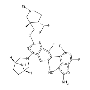 CCN1CC[C@H](C(F)F)[C@](C)(COc2nc(N3C[C@H]4CC[C@@H](C3)N4)c3cc(F)c(-c4c(F)cc(F)c5sc(N)c(C#N)c45)c(F)c3n2)C1